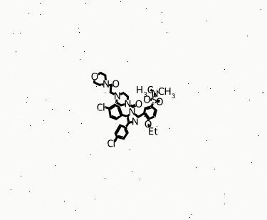 CCOc1ccc(S(=O)(=O)N(C)C)cc1C1=NC(c2ccc(Cl)cc2)C(c2ccc(Cl)cc2)N1C(=O)N1CCN(CC(=O)N2CCOCC2)CC1